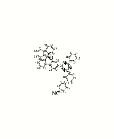 N#Cc1ccc(-c2cccc(-c3nc(-c4ccccc4)nc(-c4ccc5c(c4)OC(c4ccccc4)(c4ccccc4)c4ccccc4-5)n3)c2)cc1